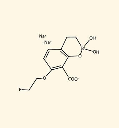 O=C([O-])c1c(OCCF)ccc2c1O[B-](O)(O)CC2.[Na+].[Na+]